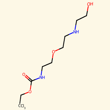 O=C(NCCOCCNCCO)OCC(Cl)(Cl)Cl